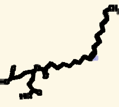 CCCCCCCC/C=C\CCCCCCCC(=O)OC(CCC(=O)O)CCC(=O)O